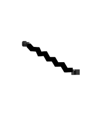 CCCCCCCCC[CH2][Cu].[LiH]